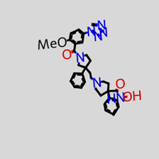 COc1ccc(-n2cnnn2)cc1C(=O)N1CCC(CCN2CCC(C(=O)NO)(c3ccccc3)CC2)(c2ccccc2)C1